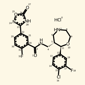 Cl.O=C(NC[C@@H]1CNCCO[C@H]1c1ccc(Cl)c(F)c1)c1cc(-c2noc(=O)[nH]2)ccc1F